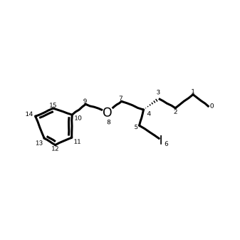 CCCC[C@H](CI)COCc1ccccc1